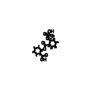 O=C(O)c1ccccc1OC(=O)c1ccccc1OS(=O)(=O)O